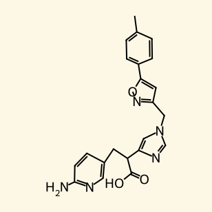 Cc1ccc(-c2cc(Cn3cnc(C(Cc4ccc(N)nc4)C(=O)O)c3)no2)cc1